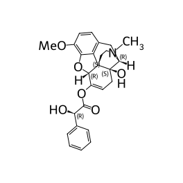 COc1ccc2c3c1O[C@H]1C(OC(=O)[C@H](O)c4ccccc4)=CC[C@@]4(O)[C@@H](C2)N(C)CC[C@]314